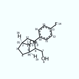 CN1[C@H]2CC[C@@H]1C(CO)C(c1ccc(F)cc1)C2